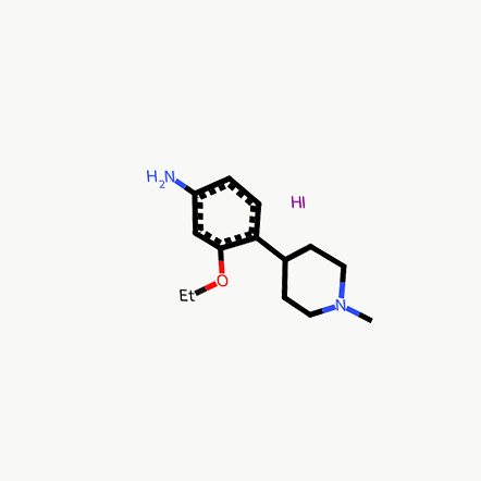 CCOc1cc(N)ccc1C1CCN(C)CC1.I